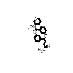 CNCCC(Oc1cccc(C(=O)N(C)c2cccnc2)c1)c1ccccc1